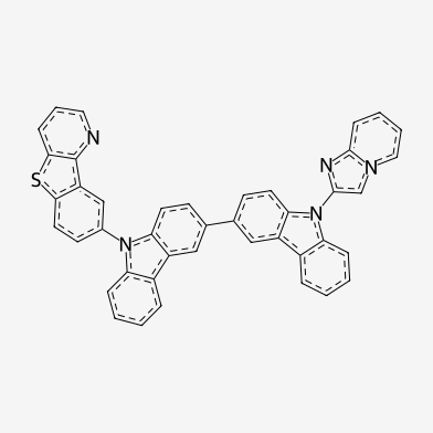 c1cnc2c(c1)sc1ccc(-n3c4ccccc4c4cc(-c5ccc6c(c5)c5ccccc5n6-c5cn6ccccc6n5)ccc43)cc12